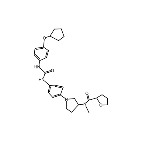 CN(C(=O)C1CCCO1)C1CCN(c2ccc(NC(=O)Nc3ccc(OC4CCCC4)cc3)cc2)C1